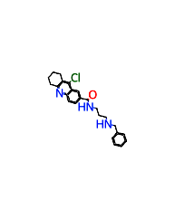 O=C(NCCCNCc1ccccc1)c1ccc2nc3c(c(Cl)c2c1)CCCC3